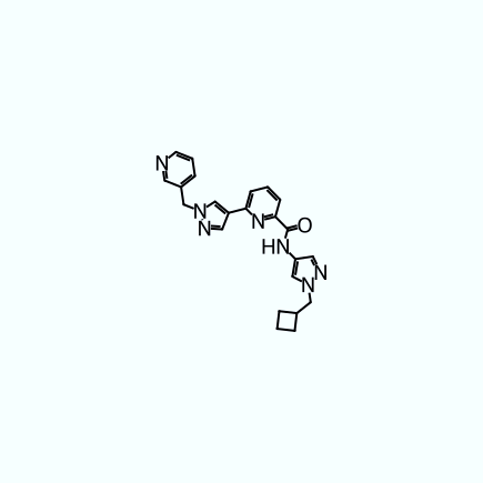 O=C(Nc1cnn(CC2CCC2)c1)c1cccc(-c2cnn(Cc3cccnc3)c2)n1